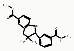 CNC(=O)c1cccc(C2Nc3ccc(C(=O)OC)cc3CC2(C)C)c1